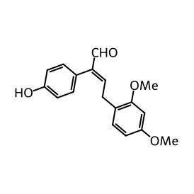 COc1ccc(CC=C(C=O)c2ccc(O)cc2)c(OC)c1